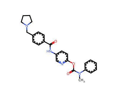 CN(C(=O)Oc1ccc(NC(=O)c2ccc(CN3CCCC3)cc2)cn1)c1ccccc1